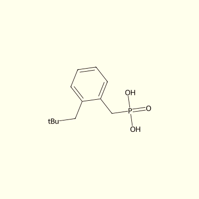 CC(C)(C)Cc1ccccc1CP(=O)(O)O